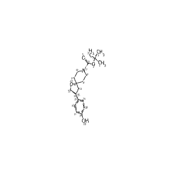 CC(C)(C)OC(=O)N1CCC2(CC1)C[C@@H](c1ccc(O)cc1)CO2